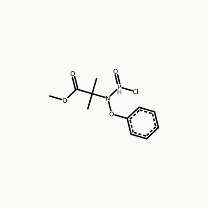 COC(=O)C(C)(C)N(Oc1ccccc1)[PH](=O)Cl